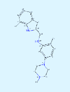 Cc1ccc(N2CCN(C)CC2)cc1NCC1Cc2cccc(C)c2N1